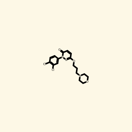 O=c1ccc(OCCCN2CCOCC2)nn1-c1ccc(Cl)c(Cl)c1